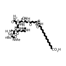 CCCC[C@H](NC(=O)[C@H](CN)NC(=O)[C@H](Cc1c[nH]cn1)NC(=O)[C@H](CCC(N)=O)NC(=O)[C@H](CO)NC(=O)CNC(=O)CCCS(=O)(=O)NC(=O)CCCCCCCCCCCCCCC(=O)O)C(=O)NC